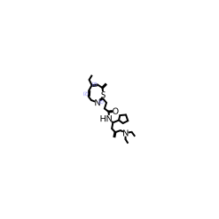 C=C(CC(NC(=O)CC/C1=N/C/C=C\C(CC)=C/C(=C)S1)C1CCCC1)CN(CC)CC